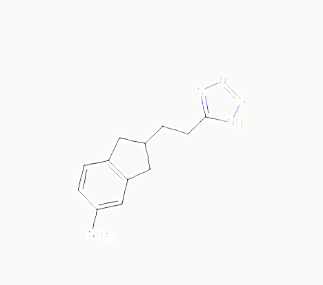 CC(=O)Nc1ccc2c(c1)CC(CCc1nnn[nH]1)C2